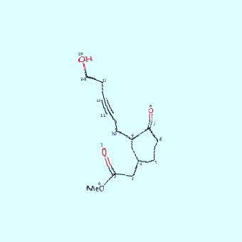 COC(=O)CC1CCC(=O)C1CC#CCCO